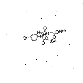 COC(=O)CNC(=O)c1nc2cc(Br)ccc2n1C(=O)OC(C)(C)C